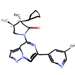 COc1cncc(-c2cn3nccc3c(N3C[C@@H](C)[C@@](C#N)(C4CC4)C3=O)n2)c1